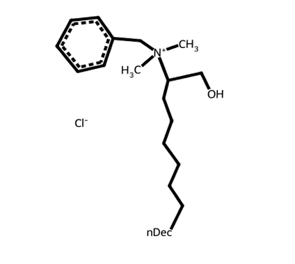 CCCCCCCCCCCCCCCCC(CO)[N+](C)(C)Cc1ccccc1.[Cl-]